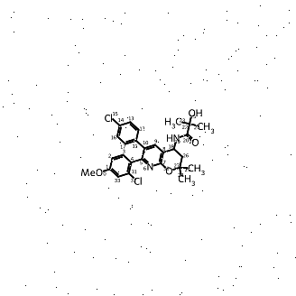 COc1ccc(-c2nc3c(cc2-c2ccc(Cl)cc2)C(NC(=O)C(C)(C)O)CC(C)(C)O3)c(Cl)c1